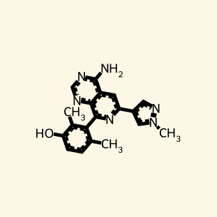 Cc1ccc(O)c(C)c1-c1nc(-c2cnn(C)c2)cc2c(N)ncnc12